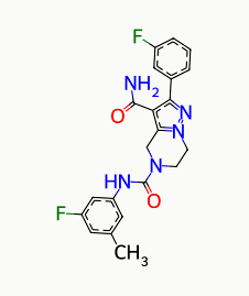 Cc1cc(F)cc(NC(=O)N2CCn3nc(-c4cccc(F)c4)c(C(N)=O)c3C2)c1